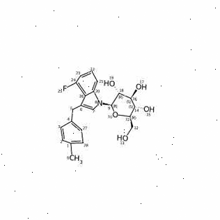 Cc1ccc(Cc2cn([C@@H]3O[C@H](CO)[C@@H](O)[C@H](O)[C@H]3O)c3cccc(F)c23)cc1